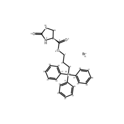 O=C1N[C@H](C(=O)OCCC[P+](c2ccccc2)(c2ccccc2)c2ccccc2)CS1.[Br-]